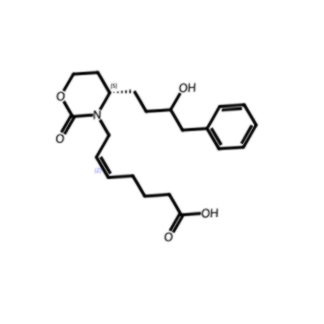 O=C(O)CCC/C=C\CN1C(=O)OCC[C@@H]1CCC(O)Cc1ccccc1